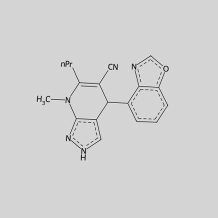 CCCC1=C(C#N)C(c2cccc3ocnc23)c2c[nH]nc2N1C